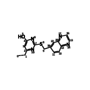 CCc1cc(O)nc(SCc2ccc3nccnc3c2)n1